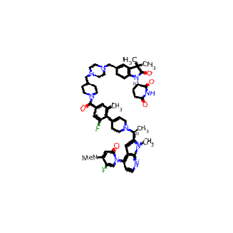 CNc1cc(=O)n(-c2ccnc3c2cc([C@H](C)N2CC=C(c4c(C)cc(C(=O)N5CCC(CN6CCN(Cc7ccc8c(c7)C(C)(C)C(=O)N8[C@H]7CCC(=O)NC7=O)CC6)CC5)cc4F)CC2)n3C)cc1F